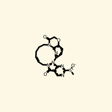 C[S+]([O-])c1ncc2c(=O)n3n(c2n1)-c1ccc2c(n1)N(CCC/C=C\C3)C(=O)CO2